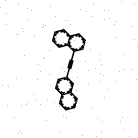 C(#Cc1cccc2[c]cccc12)c1ccc2ccccc2c1